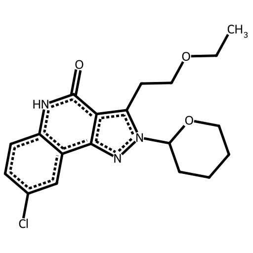 CCOCCc1c2c(=O)[nH]c3ccc(Cl)cc3c2nn1C1CCCCO1